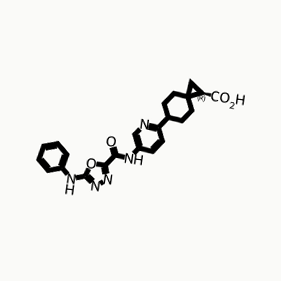 O=C(Nc1ccc(C2CCC3(CC2)C[C@H]3C(=O)O)nc1)c1nnc(Nc2ccccc2)o1